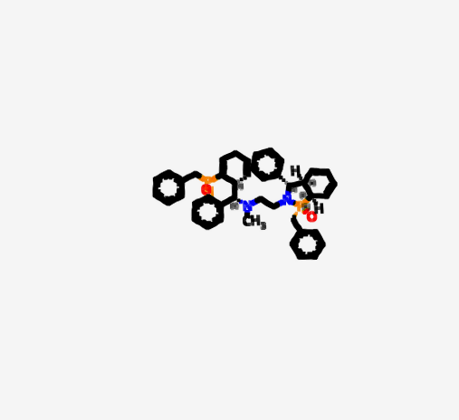 CN(CCN1[C@H](c2ccccc2)[C@H]2C=CC=C[C@H]2[P@]1(=O)Cc1ccccc1)[C@H](c1ccccc1)[C@H]1C=CCC=C1[PH](=O)Cc1ccccc1